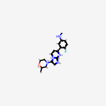 CNc1ccc(F)c(-c2ccn3c(N4CCOC(C)C4)cnc3n2)c1